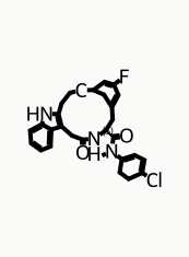 CN(C(=O)[C@@H]1CC2=CC(F)=CC(CCCc3[nH]c4ccccc4c3CC(=O)N1)C2)C1=CC=C(Cl)CC1